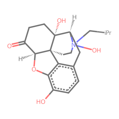 CC(C)C[N+]1(O)CC[C@]23c4c5ccc(O)c4O[C@H]2C(=O)CC[C@@]3(O)[C@H]1C5